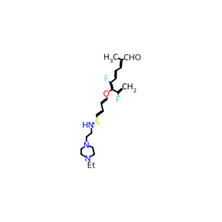 C=C(F)\C(O/C=C/C=C/SNCCN1CCN(CC)CC1)=C(F)/C=C/C=C(\C)C=O